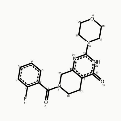 O=C(c1ccccc1F)N1CCc2c(nc(N3CCOCC3)[nH]c2=O)C1